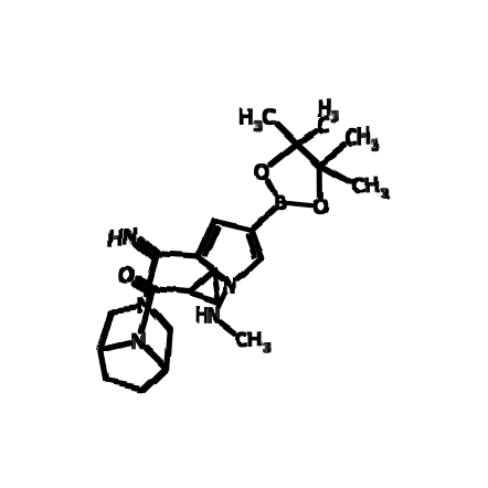 CNn1cc(B2OC(C)(C)C(C)(C)O2)cc1C(=N)N1CC2CCC(C1)N2C(=O)C1CC1